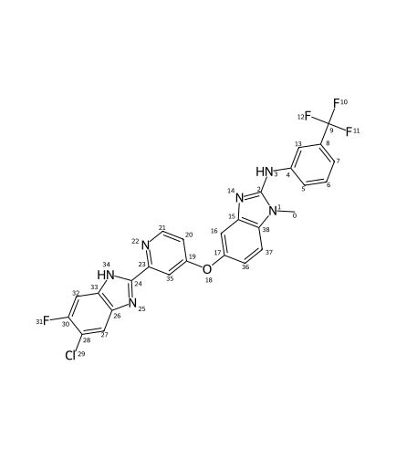 Cn1c(Nc2cccc(C(F)(F)F)c2)nc2cc(Oc3ccnc(-c4nc5cc(Cl)c(F)cc5[nH]4)c3)ccc21